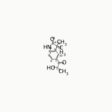 CC(O)C(=O)c1ccc2c(c1)C(C)(C)C(=O)N2